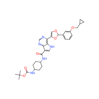 CC(C)(C)OC(=O)NC1CCC(NC(=O)c2c[nH]c3c(C4=COC(c5cccc(OCC6CC6)c5)O4)ncnc23)CC1